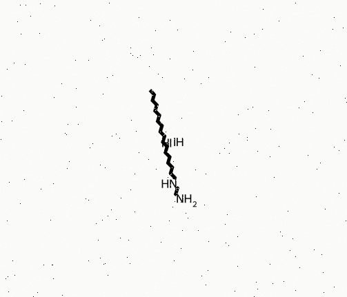 CCCCCCCCCCCCCCCCCCNCCN.I.I